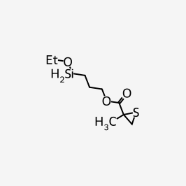 CCO[SiH2]CCCOC(=O)C1(C)CS1